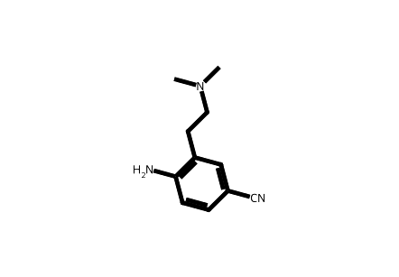 CN(C)CCc1cc(C#N)ccc1N